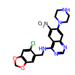 O=[N+]([O-])c1cc2c(NCc3cc4c(cc3Cl)OCO4)ncnc2cc1N1CCNCC1